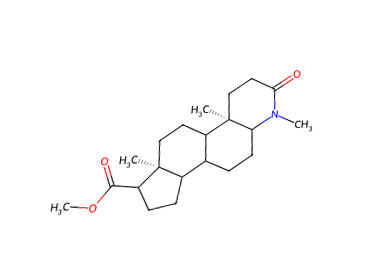 COC(=O)C1CCC2C3CCC4N(C)C(=O)CC[C@]4(C)C3CC[C@]12C